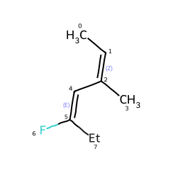 C/C=C(C)\C=C(\F)CC